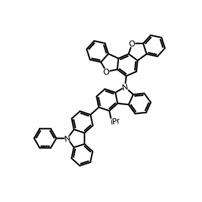 CC(C)c1c(-c2ccc3c(c2)c2ccccc2n3-c2ccccc2)ccc2c1c1ccccc1n2-c1cc2c3ccccc3oc2c2c1oc1ccccc12